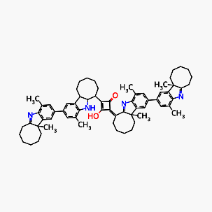 Cc1cc(-c2cc(C)c3c(c2)C2CCCCCC(C4=C(O)/C(=C5\CCCCCC6(C)C5=Nc5c(C)cc(-c7cc(C)c8c(c7)C7(C)CCCCCCC7=N8)cc56)C4=O)C2N3)cc2c1N=C1CCCCCCC12C